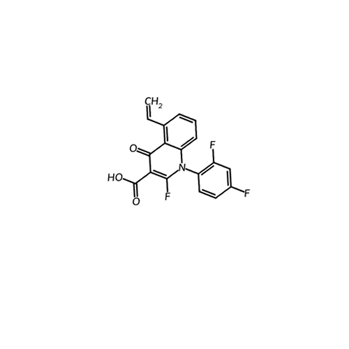 C=Cc1cccc2c1c(=O)c(C(=O)O)c(F)n2-c1ccc(F)cc1F